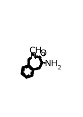 CN1Cc2ccccc2C[C@H](N)C1=O